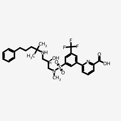 CN(C[C@H](O)CNC(C)(C)CCCc1ccccc1)S(=O)(=O)c1cc(-c2cccc(C(=O)O)n2)cc(C(F)(F)F)c1